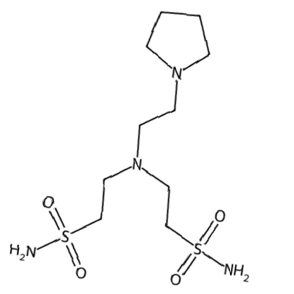 NS(=O)(=O)CCN(CCN1CCCC1)CCS(N)(=O)=O